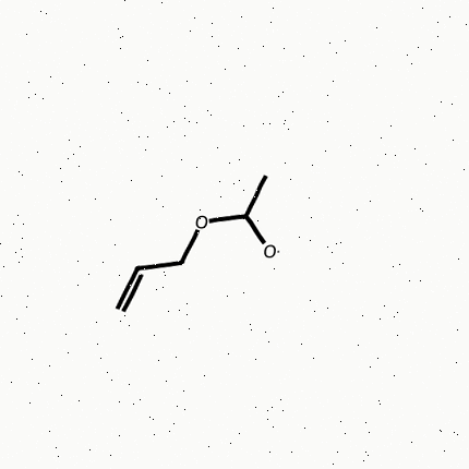 C=CCOC(C)[O]